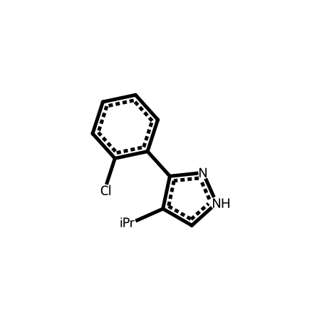 CC(C)c1c[nH]nc1-c1ccccc1Cl